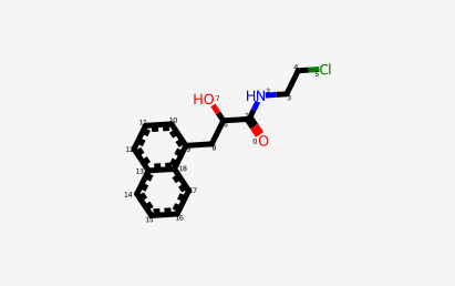 O=C(NCCCl)C(O)Cc1cccc2ccccc12